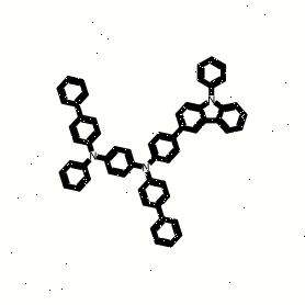 c1ccc(-c2ccc(N(c3ccccc3)c3ccc(N(c4ccc(-c5ccccc5)cc4)c4ccc(-c5ccc6c(c5)c5ccccc5n6-c5ccccc5)cc4)cc3)cc2)cc1